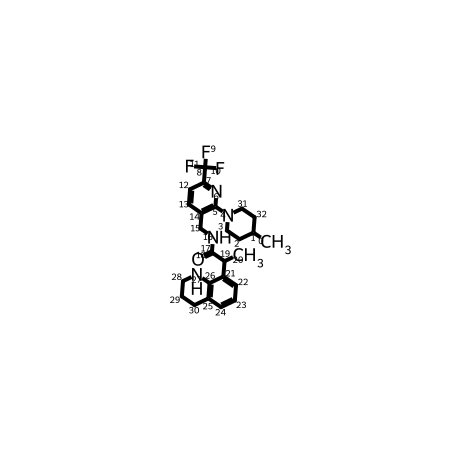 CC1CCN(c2nc(C(F)(F)F)ccc2CNC(=O)C(C)c2cccc3c2NCCC3)CC1